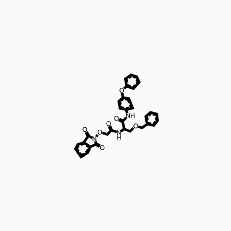 O=C(CON1C(=O)c2ccccc2C1=O)NC(COCc1ccccc1)C(=O)Nc1ccc(Oc2ccccc2)cc1